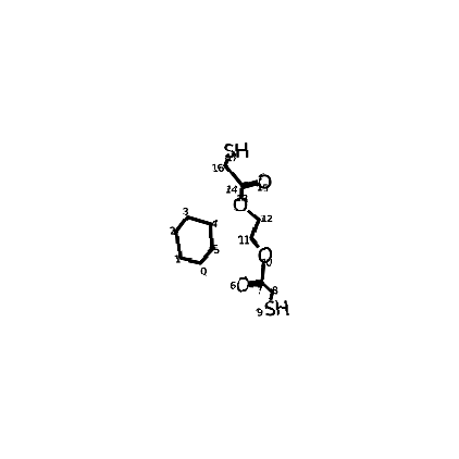 C1CCCCC1.O=C(CS)OCCOC(=O)CS